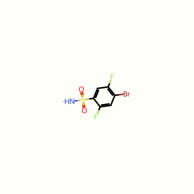 [NH]S(=O)(=O)c1cc(F)c(Br)cc1F